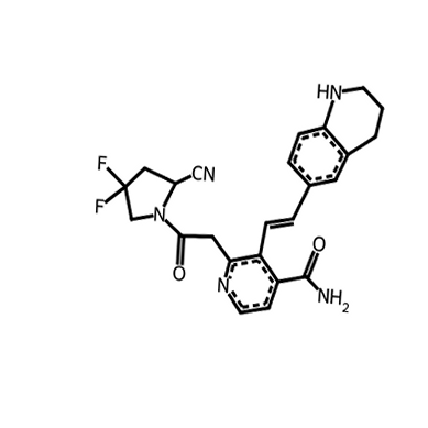 N#CC1CC(F)(F)CN1C(=O)Cc1nccc(C(N)=O)c1C=Cc1ccc2c(c1)CCCN2